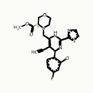 C#CC1=C(CN2CCOC[C@H]2C(=O)OC)NC(c2nccs2)=NC1c1ccc(F)cc1Cl